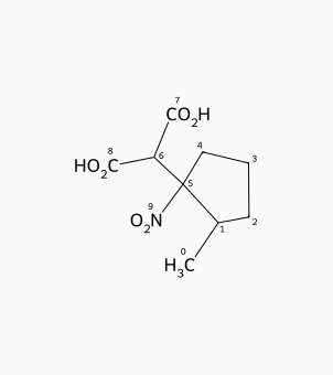 CC1CCCC1(C(C(=O)O)C(=O)O)[N+](=O)[O-]